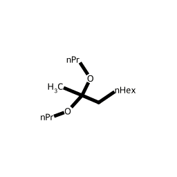 CCCCCCCC(C)(OCCC)OCCC